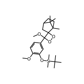 COc1ccc(C2(OC)OOC23CC2CCC3(C)C2(C)C)cc1O[Si](C)(C)C(C)(C)C